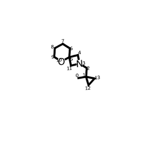 CC1(CN2CC3(CCCCO3)C2)CC1